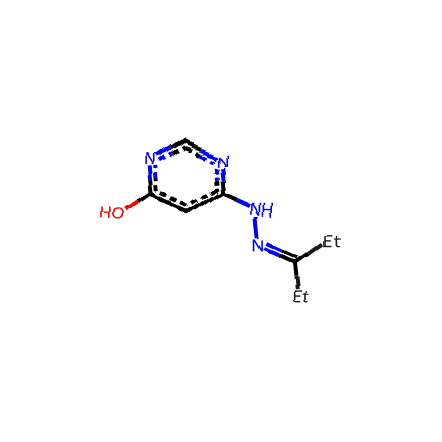 CCC(CC)=NNc1cc(O)ncn1